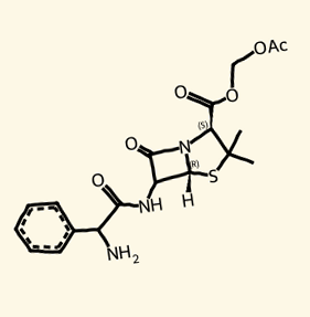 CC(=O)OCOC(=O)[C@@H]1N2C(=O)C(NC(=O)C(N)c3ccccc3)[C@H]2SC1(C)C